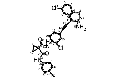 Nc1ncc2ccc(Cl)cc2c1C#Cc1ccc(NC(=O)C2(C(=O)Nc3ccc(F)cc3)CC2)c(Cl)c1